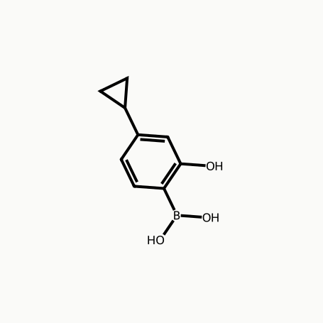 OB(O)c1ccc(C2CC2)cc1O